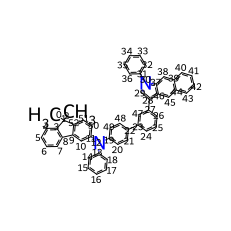 CC1(C)c2ccccc2-c2cc(N(c3ccccc3)c3ccc(-c4cccc(-c5cn(-c6ccccc6)c6cc7ccccc7cc56)c4)cc3)ccc21